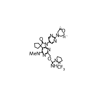 CNc1nc(COC(=N)N2CCC[C@@H]2C(F)(F)F)nc2c1C1(CCCC1)C(=O)N2c1cnc(N2C[C@@H](C)O[C@@H](C)C2)nc1